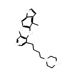 Cc1c(Nc2c(C#N)cncc2CCCCN2CCNCC2)ccc2[nH]ccc12